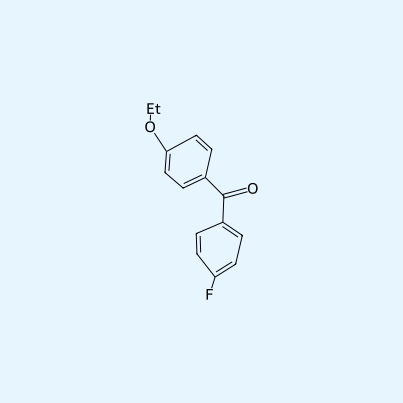 CCOc1ccc(C(=O)c2ccc(F)cc2)cc1